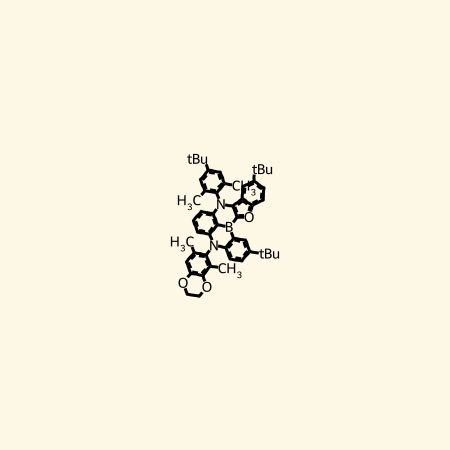 Cc1cc(C(C)(C)C)cc(C)c1N1c2cccc3c2B(c2cc(C(C)(C)C)ccc2N3c2c(C)cc3c(c2C)OCCO3)c2oc3ccc(C(C)(C)C)cc3c21